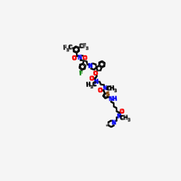 CN(CCN1CC[CH]CC1)C(=O)CCCCCNc1ccc(C(=O)N(C)CCCN(C)C(=O)CO[C@H]2Cc3ccccc3C23CCN(CC[C@@]2(c4ccc(F)cc4)CN(C(=O)c4cc(C(F)(F)F)cc(C(F)(F)F)c4)CO2)CC3)s1